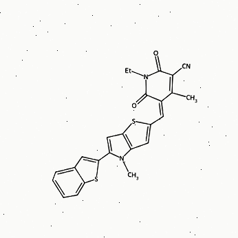 CCN1C(=O)C(C#N)=C(C)/C(=C/c2cc3c(cc(-c4cc5ccccc5s4)n3C)s2)C1=O